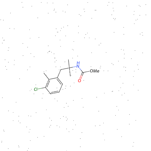 COC(=O)NC(C)(C)Cc1cccc(Cl)c1C